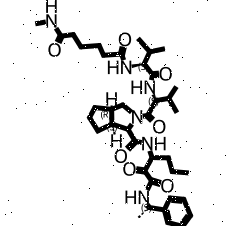 CCCC(NC(=O)C1[C@H]2CCC[C@H]2CN1C(=O)[C@@H](NC(=O)[C@@H](NC(=O)CCCCC(=O)NC)C(C)C)C(C)C)C(=O)C(=O)N[C@@H](C)c1ccccc1